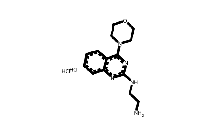 Cl.Cl.NCCNc1nc(N2CCOCC2)c2ccccc2n1